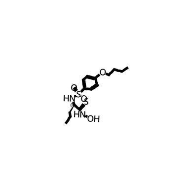 CCCCOc1ccc(S(=O)(=O)N[C@H](CCC)C(=S)NO)cc1